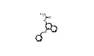 NC(=O)Oc1cc(OCc2ccccc2)c2ccccc2c1